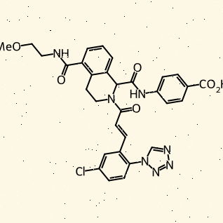 COCCNC(=O)c1cccc2c1CCN(C(=O)C=Cc1cc(Cl)ccc1-n1cnnn1)C2C(=O)Nc1ccc(C(=O)O)cc1